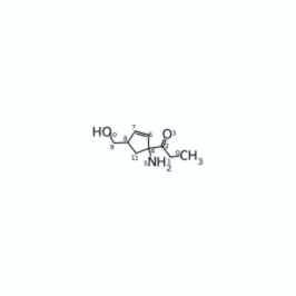 CCC(=O)C1(N)C=CC(CO)C1